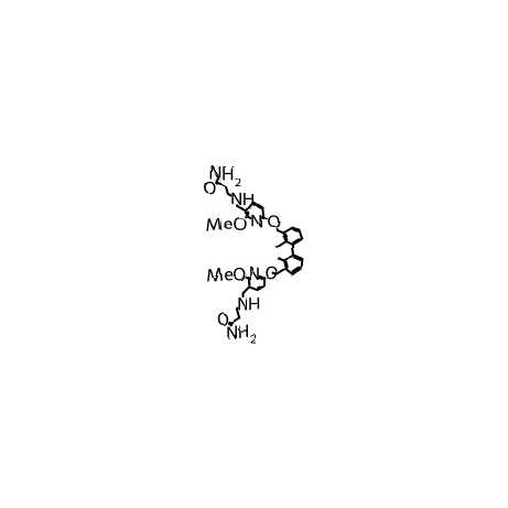 COc1nc(OCc2cccc(-c3cccc(COc4ccc(CNCCC(N)=O)c(OC)n4)c3C)c2C)ccc1CNCCC(N)=O